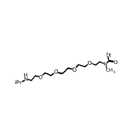 CCC(=O)N(C)CCOCCOCCOCCOCCNC(C)C